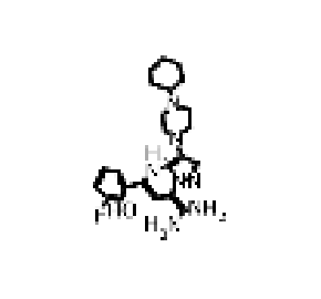 NC(N)=C(/C=C(\N)c1cccc(F)c1O)n1cc(N2CCN(C3CCCCC3)CC2)cn1